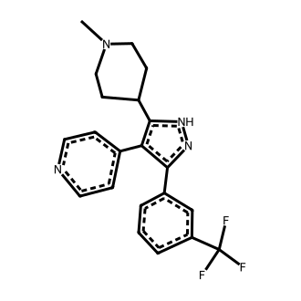 CN1CCC(c2[nH]nc(-c3cccc(C(F)(F)F)c3)c2-c2ccncc2)CC1